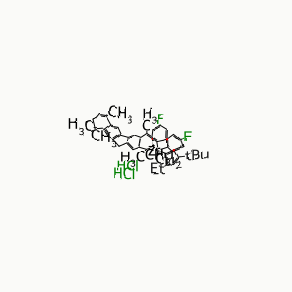 Cl.Cl.[CH2]=[Zr]([C]1=CC(C(C)(C)C)=CC1CC)([c]1ccc(F)cc1)([c]1ccc(F)cc1)[CH]1C=C(C)c2cc3c(cc2C1(C)C)Cc1cc2c(cc1-3)C(C)=CCC2(C)C